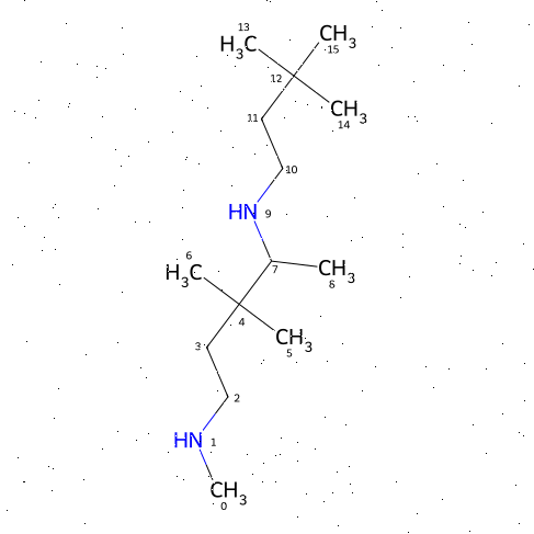 CNCCC(C)(C)C(C)NCCC(C)(C)C